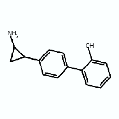 NC1CC1c1ccc(-c2ccccc2O)cc1